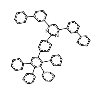 c1ccc(-c2cccc(-c3cc(-c4cccc(-c5ccccc5)c4)nc(-c4ccc(-c5cc(-c6ccccc6)c(-c6ccccc6)c(-c6ccccc6)c5-c5ccccc5)cc4)n3)c2)cc1